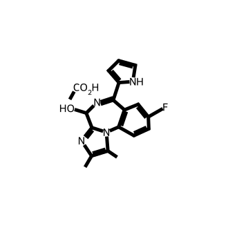 CC(=O)O.Cc1nc2n(c1C)-c1ccc(F)cc1C(c1ccc[nH]1)=NC2O